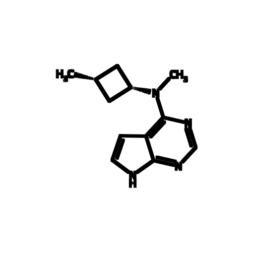 CN(c1ncnc2[nH]ccc12)[C@H]1C[C@@H](C)C1